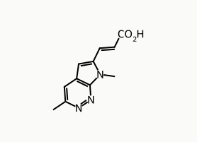 Cc1cc2cc(C=CC(=O)O)n(C)c2nn1